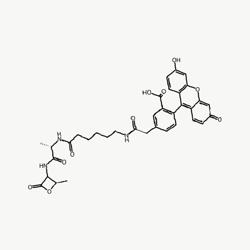 CC1OC(=O)C1NC(=O)[C@H](C)NC(=O)CCCCCNC(=O)Cc1ccc(-c2c3ccc(=O)cc-3oc3cc(O)ccc23)c(C(=O)O)c1